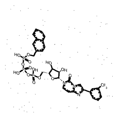 O=c1n([C@@H]2O[C@H](COP(=O)(O)OP(=O)(O)OP(=O)(O)OCc3ccc4ccccc4c3)C(O)[C@@H]2O)ccc2nc(-c3cccc(C(F)(F)F)c3)cn12